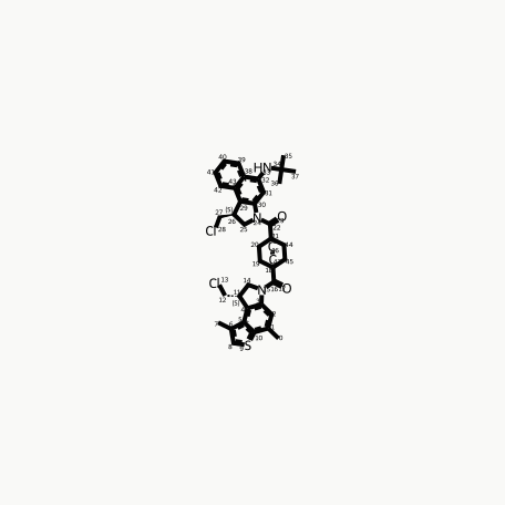 Cc1cc2c(c3c(C)csc13)[C@H](CCl)CN2C(=O)C12CCC(C(=O)N3C[C@@H](CCl)c4c3cc(NC(C)(C)C)c3ccccc43)(CC1)CC2